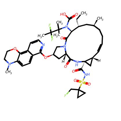 CC[C@@H]1C[C@@H](C)CCC=C[C@@H]2C[C@@]2(C(=O)NS(=O)(=O)C2(CF)CC2)NC(=O)[C@@H]2C[C@@H](Oc3nccc4c5c(ccc34)N(C)CCO5)CN2C(=O)[C@H]1N(C(=O)O)C(C)(C)C(C)(F)F